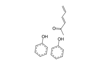 C=CC=CC(C)=O.Oc1ccccc1.Oc1ccccc1